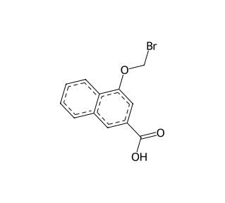 O=C(O)c1cc(OCBr)c2ccccc2c1